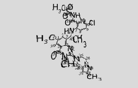 Cc1cc([C@@H](C)Nc2ccc(Cl)nc2C(=O)NS(C)(=O)=O)c2nc(N3CCn4nc(C)cc4C3)n(C)c(=O)c2c1